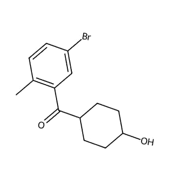 Cc1ccc(Br)cc1C(=O)C1CCC(O)CC1